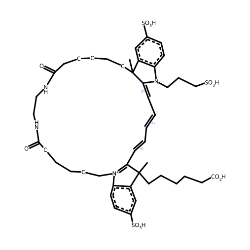 CC1(CCCCCC(=O)O)C2=[N+](CCCCCC(=O)NCCNC(=O)CCCCCC3(C)/C(=C/C=C/C=C/2)N(CCCS(=O)(=O)O)c2ccc(S(=O)(=O)O)cc23)c2ccc(S(=O)(=O)O)cc21